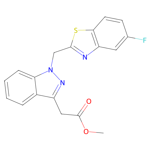 COC(=O)Cc1nn(Cc2nc3cc(F)ccc3s2)c2ccccc12